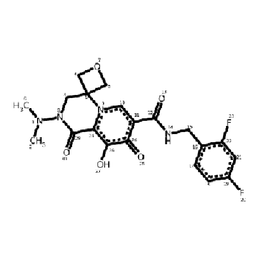 CN(C)N1CC2(COC2)n2cc(C(=O)NCc3ccc(F)cc3F)c(=O)c(O)c2C1=O